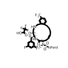 CCCCCS(=O)(=O)N(C)[C@H]1CC=CCCCc2ccc(C(F)(F)F)cc2CNC[C@@H](O)[C@H](Cc2cc(F)cc(F)c2)NC1=O.O=C(O)C(F)(F)F